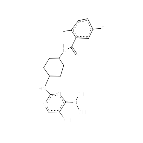 Cc1cnc(NC2CCC(NC(=O)c3cc(F)ccc3F)CC2)nc1N(C)C